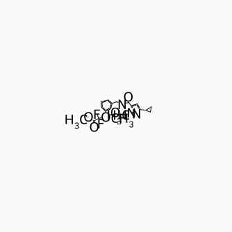 COC(=O)C(F)(F)Oc1cccc(CNC(=O)c2cc(C3CC3)nn2C)c1OC